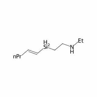 CCCC=C[SiH2]CCNCC